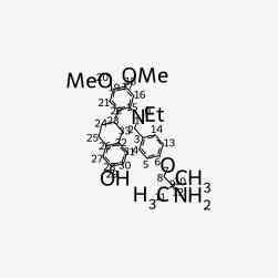 CCN(Cc1ccc(OCC(C)(C)N)cc1)c1cc(OC)c(OC)cc1[C@@H]1CCc2cc(O)ccc2C1